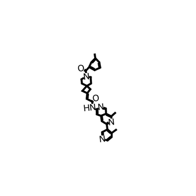 Cc1cccc(C(=O)N2CCC3(CC2)CC(=CC(=O)Nc2cc4cc(-c5cnccc5C)nc(C)c4cn2)C3)c1